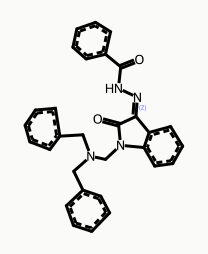 O=C(N/N=C1\C(=O)N(CN(Cc2ccccc2)Cc2ccccc2)c2ccccc21)c1ccccc1